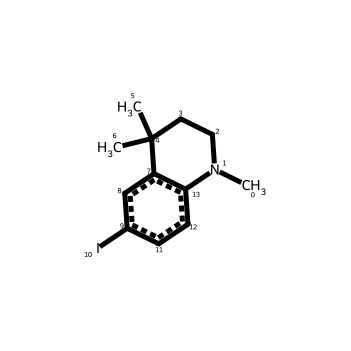 CN1CCC(C)(C)c2cc(I)ccc21